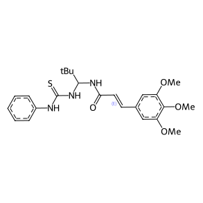 COc1cc(/C=C/C(=O)NC(NC(=S)Nc2ccccc2)C(C)(C)C)cc(OC)c1OC